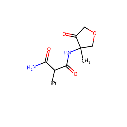 CC(C)C(C(N)=O)C(=O)NC1(C)COCC1=O